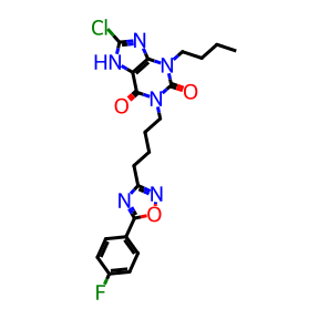 CCCCn1c(=O)n(CCCCc2noc(-c3ccc(F)cc3)n2)c(=O)c2[nH]c(Cl)nc21